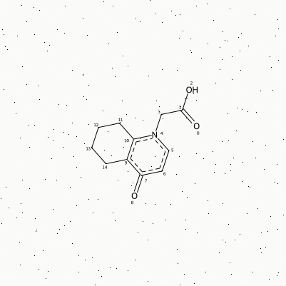 O=C(O)Cn1ccc(=O)c2c1CCCC2